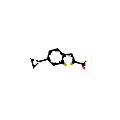 O=C(Cl)c1cc2ccc(C3CC3)cc2s1